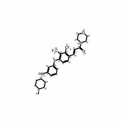 C[C@H]1CC[C@H](Nc2cccc(Sc3ccc(/C=C/C(=O)N4CCOCC4)c(C(F)(F)F)c3C(F)(F)F)c2)CC1